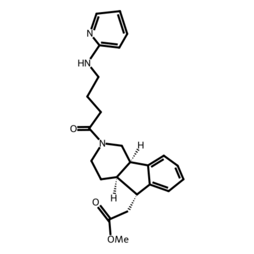 COC(=O)C[C@H]1c2ccccc2[C@@H]2CN(C(=O)CCCNc3ccccn3)CC[C@H]12